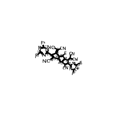 N#CC(C#N)=C1C(c2nc(F)nc(F)n2)=C(C#N)c2cc3c(c(F)c21)C(=C(C#N)C#N)C(c1nc(F)nc(F)n1)=C3C#N